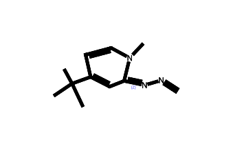 C=N/N=c1/cc(C(C)(C)C)ccn1C